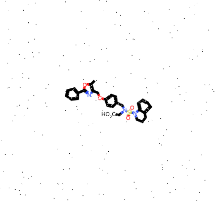 Cc1oc(-c2ccccc2)nc1COc1ccc(CN(CC(=O)O)S(=O)(=O)N2CCCc3ccccc32)cc1